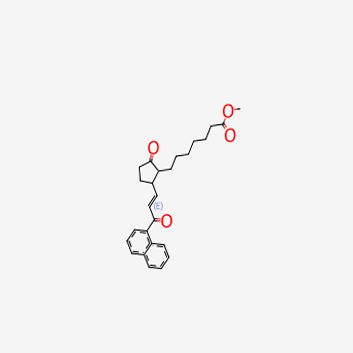 COC(=O)CCCCCCC1C(=O)CCC1/C=C/C(=O)c1cccc2ccccc12